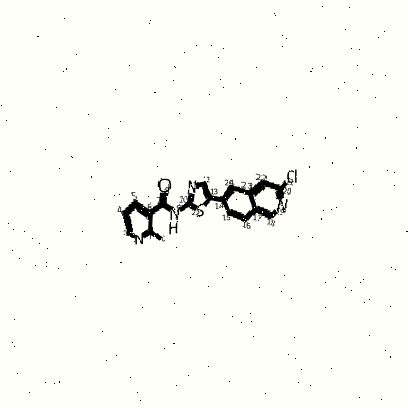 Cc1ncccc1C(=O)Nc1ncc(-c2ccc3cnc(Cl)cc3c2)s1